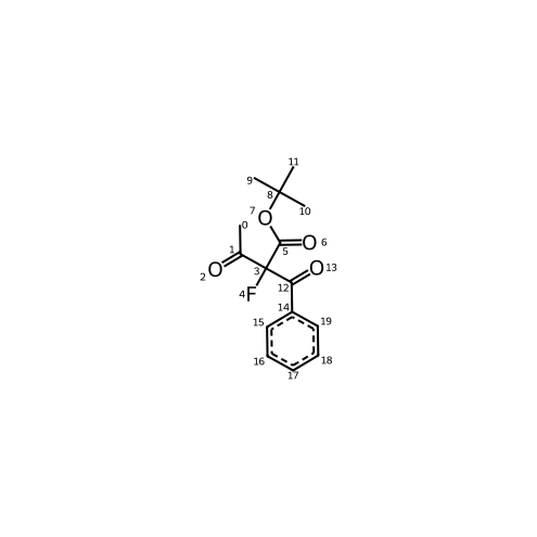 CC(=O)C(F)(C(=O)OC(C)(C)C)C(=O)c1ccccc1